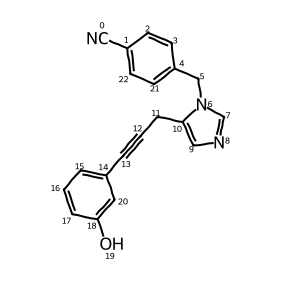 N#Cc1ccc(Cn2cncc2CC#Cc2cccc(O)c2)cc1